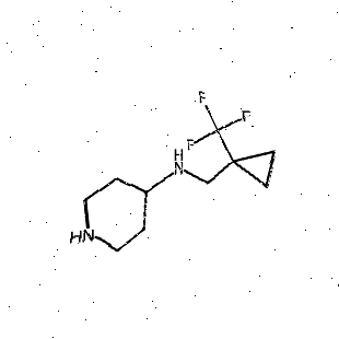 FC(F)(F)C1(CNC2CCNCC2)CC1